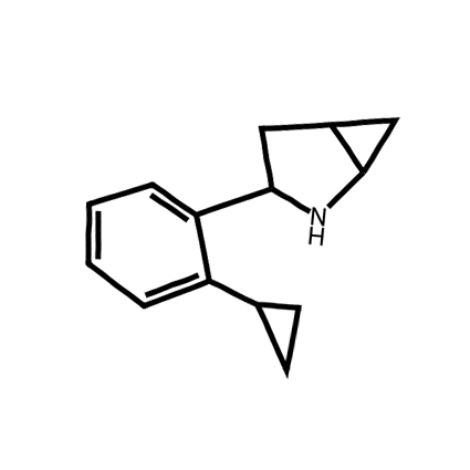 c1ccc(C2CC3CC3N2)c(C2CC2)c1